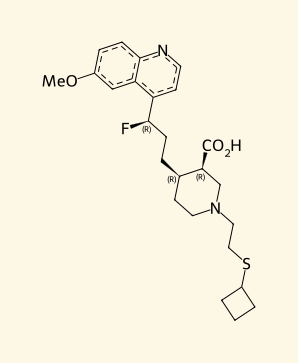 COc1ccc2nccc([C@H](F)CC[C@@H]3CCN(CCSC4CCC4)C[C@@H]3C(=O)O)c2c1